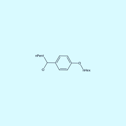 CCCCCCOc1ccc(C([O])CCCCC)cc1